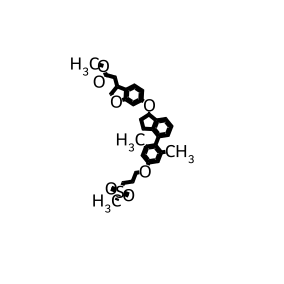 COC(=O)CC1COc2cc(O[C@@H]3CCc4c(-c5c(C)cc(OCCCS(C)(=O)=O)cc5C)cccc43)ccc21